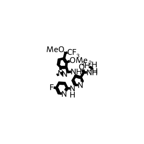 [2H]C([2H])([2H])NC(=O)c1cnc(Nc2ccc(F)cn2)cc1Nc1nn(C)c2ccc([C@H](OC)C(F)(F)F)c(OC)c12